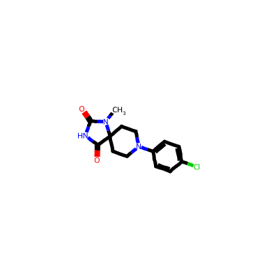 CN1C(=O)NC(=O)C12CCN(c1ccc(Cl)cc1)CC2